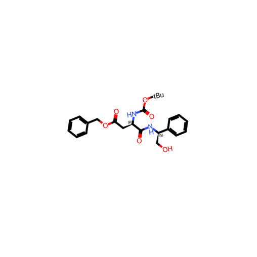 CC(C)(C)OC(=O)N[C@H](CC(=O)OCc1ccccc1)C(=O)N[C@H](CO)c1ccccc1